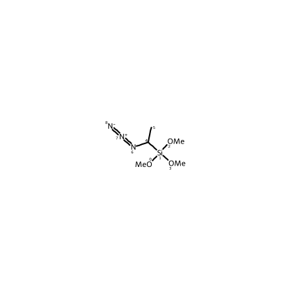 CO[Si](OC)(OC)C(C)N=[N+]=[N-]